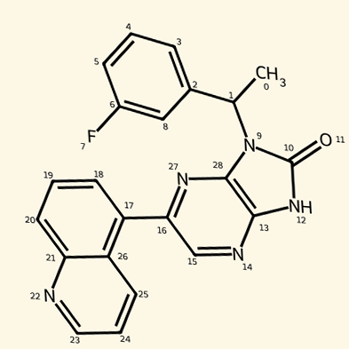 CC(c1cccc(F)c1)n1c(=O)[nH]c2ncc(-c3cccc4ncccc34)nc21